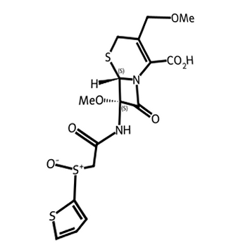 COCC1=C(C(=O)O)N2C(=O)[C@](NC(=O)C[S+]([O-])c3cccs3)(OC)[C@@H]2SC1